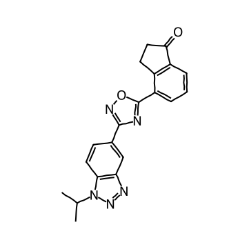 CC(C)n1nnc2cc(-c3noc(-c4cccc5c4CCC5=O)n3)ccc21